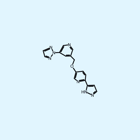 c1cc(-c2ccc(OCc3cncc(-n4nccn4)c3)cn2)[nH]n1